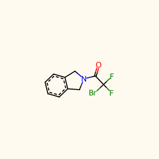 O=C(N1Cc2ccccc2C1)C(F)(F)Br